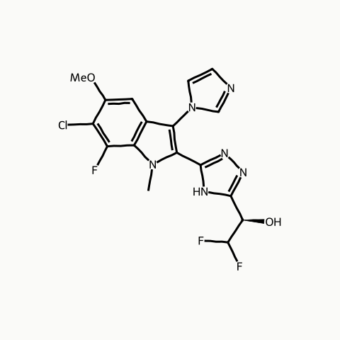 COc1cc2c(-n3ccnc3)c(-c3nnc([C@@H](O)C(F)F)[nH]3)n(C)c2c(F)c1Cl